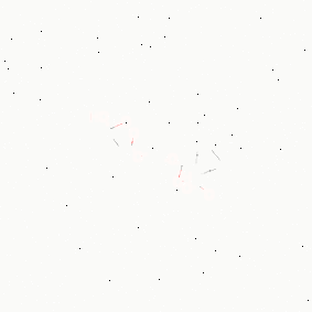 O=C(O)/C=C\C(=O)OCCOC(=O)c1ccccc1C(=O)O